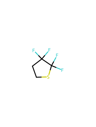 FC1(F)CCSC1(F)F